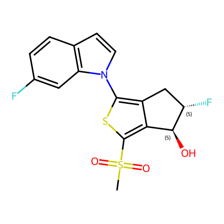 CS(=O)(=O)c1sc(-n2ccc3ccc(F)cc32)c2c1[C@H](O)[C@@H](F)C2